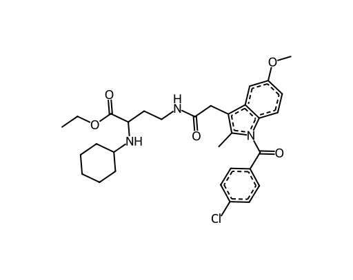 CCOC(=O)C(CCNC(=O)Cc1c(C)n(C(=O)c2ccc(Cl)cc2)c2ccc(OC)cc12)NC1CCCCC1